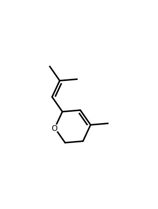 CC(C)=CC1C=C(C)CCO1